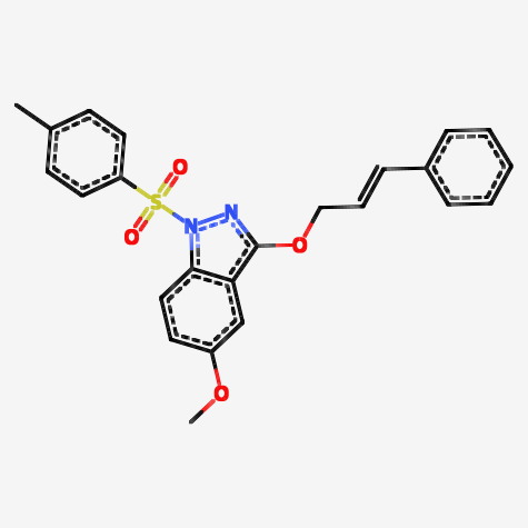 COc1ccc2c(c1)c(OCC=Cc1ccccc1)nn2S(=O)(=O)c1ccc(C)cc1